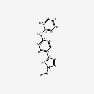 CCn1ccc(-c2ccc(Oc3ccccn3)cc2)n1